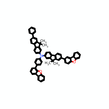 CC1(C)c2cc(-c3ccccc3)ccc2-c2ccc(N(c3ccc(-c4cccc5c4oc4ccccc45)cc3)c3ccc4c(c3)C(C)(C)c3cc(-c5ccc6oc7ccccc7c6c5)ccc3-4)cc21